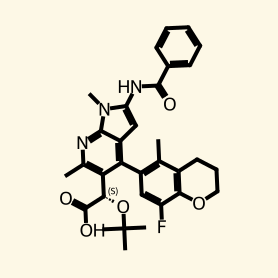 Cc1nc2c(cc(NC(=O)c3ccccc3)n2C)c(-c2cc(F)c3c(c2C)CCCO3)c1[C@H](OC(C)(C)C)C(=O)O